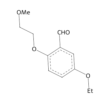 CCOc1ccc(OCCOC)c(C=O)c1